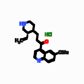 C=C[C@@H]1CNCCC1CCC(=O)c1ccnc2ccc(OC)cc12.Cl